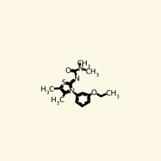 CCOc1cccc(-n2c(C)c(C)sc2=NC(=O)N(C)C)c1